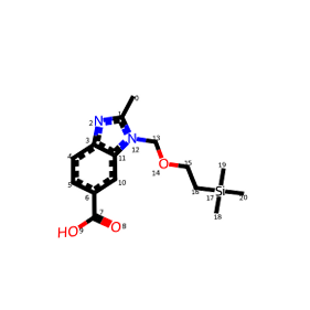 Cc1nc2ccc(C(=O)O)cc2n1COCC[Si](C)(C)C